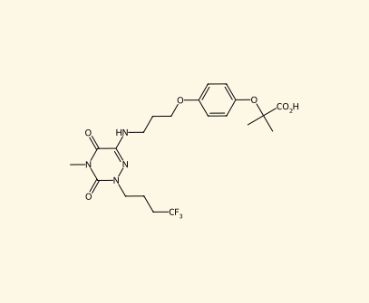 Cn1c(=O)c(NCCCOc2ccc(OC(C)(C)C(=O)O)cc2)nn(CCCC(F)(F)F)c1=O